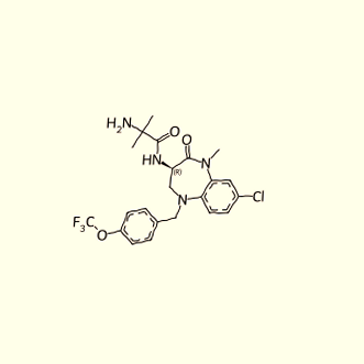 CN1C(=O)[C@H](NC(=O)C(C)(C)N)CN(Cc2ccc(OC(F)(F)F)cc2)c2ccc(Cl)cc21